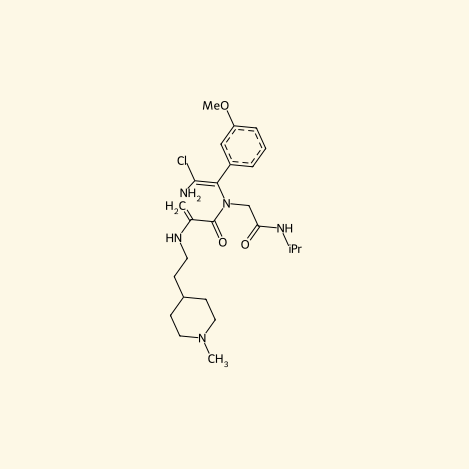 C=C(NCCC1CCN(C)CC1)C(=O)N(CC(=O)NC(C)C)/C(=C(\N)Cl)c1cccc(OC)c1